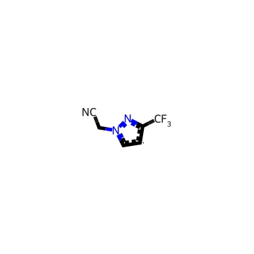 N#CCn1c[c]c(C(F)(F)F)n1